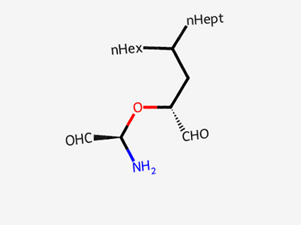 CCCCCCCC(CCCCCC)C[C@H](C=O)O[C@@H](N)C=O